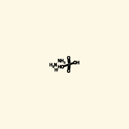 N.N.O=S(=O)(O)O.[H]